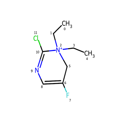 CC[N+]1(CC)CC(F)=CN=C1Cl